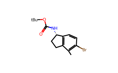 Cc1c(Br)ccc2c1CC[C@@H]2NC(=O)OC(C)(C)C